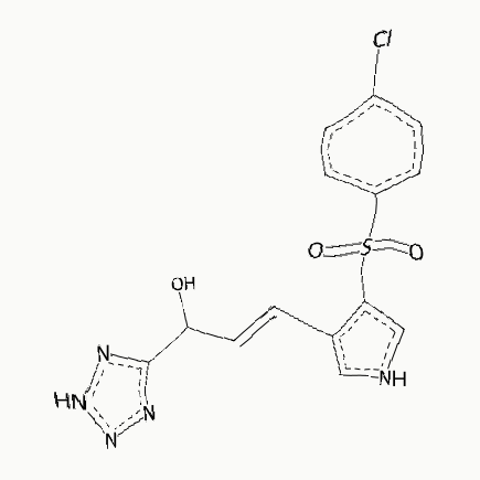 O=S(=O)(c1ccc(Cl)cc1)c1c[nH]cc1C=CC(O)c1nn[nH]n1